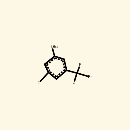 CCC(F)(F)c1cc(F)cc(C(C)(C)C)c1